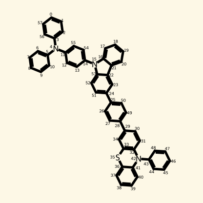 c1ccc(N(c2ccccc2)c2ccc(-n3c4ccccc4c4cc(-c5ccc(-c6ccc7c(c6)Sc6ccccc6N7c6ccccc6)cc5)ccc43)cc2)cc1